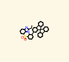 CCc1nc2cccc3c2n1-c1c(-c2ccc4c(c2)C2(c5ccccc5-c5ccccc52)c2ccccc2-4)cccc1S3(=O)=O